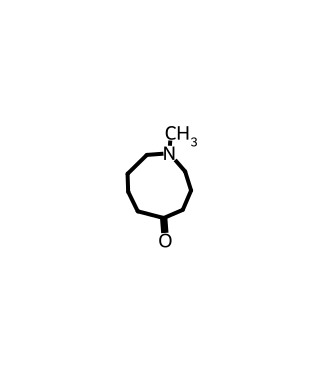 CN1CCCCC(=O)CCC1